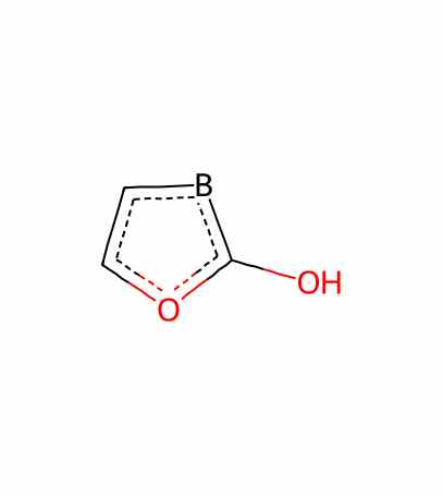 Oc1bcco1